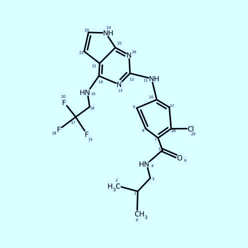 CC(C)CNC(=O)c1ccc(Nc2nc(NCC(F)(F)F)c3cc[nH]c3n2)cc1Cl